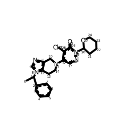 CC(c1ccccc1)n1cnc2c1CCN(c1cnn(C3CCCCO3)c(=O)c1Cl)C2